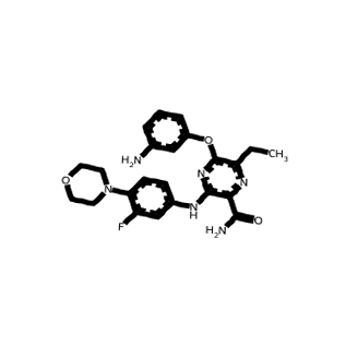 CCc1nc(C(N)=O)c(Nc2ccc(N3CCOCC3)c(F)c2)nc1Oc1cccc(N)c1